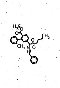 CCCCS(=O)(=O)C(NCCc1ccccc1)c1ccc(C(=O)OC)c(-c2ccccc2C)c1